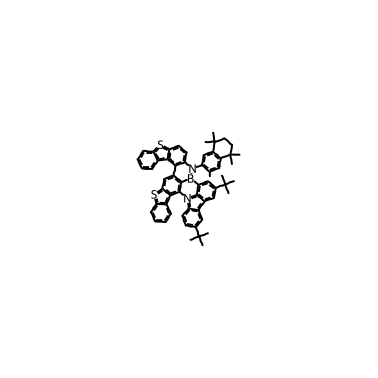 Cc1cc2c(cc1N1B3c4c(cc5sc6ccccc6c5c4-n4c5ccc(C(C)(C)C)cc5c5cc(C(C)(C)C)cc3c54)-c3c1ccc1sc4ccccc4c31)C(C)(C)CCC2(C)C